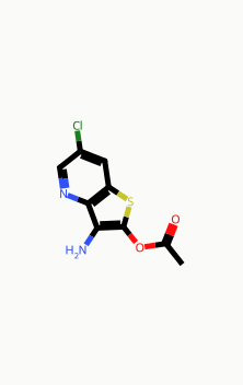 CC(=O)Oc1sc2cc(Cl)cnc2c1N